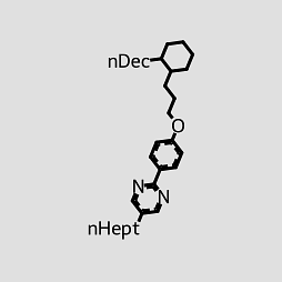 CCCCCCCCCCC1CCCCC1CCCOc1ccc(-c2ncc(CCCCCCC)cn2)cc1